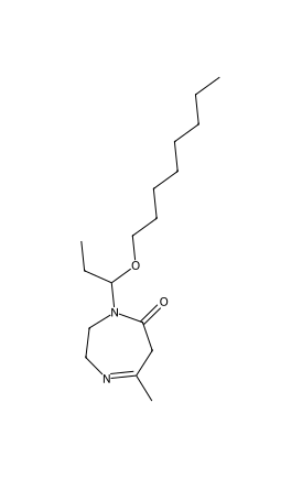 CCCCCCCCOC(CC)N1CCN=C(C)CC1=O